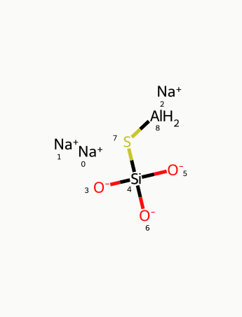 [Na+].[Na+].[Na+].[O-][Si]([O-])([O-])[S][AlH2]